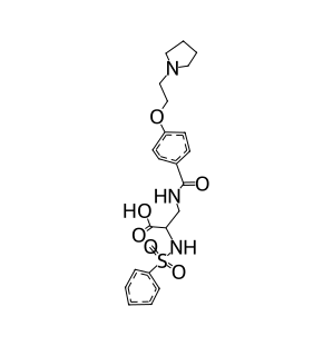 O=C(NCC(NS(=O)(=O)c1ccccc1)C(=O)O)c1ccc(OCCN2CCCC2)cc1